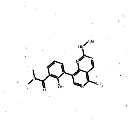 CN(C)C(=O)c1cccc(-c2cnc(N)c3cnc(NC(C)(C)C)nc23)c1O